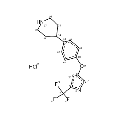 Cl.FC(F)(F)c1nnc(Oc2ccc(C3CCNCC3)cc2)s1